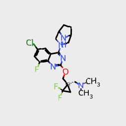 CN(C)C[C@]1(COc2nc(N3CC4CCC(C3)N4)c3cc(Cl)cc(F)c3n2)CC1(F)F